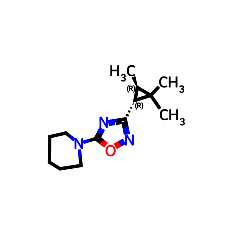 C[C@@H]1[C@@H](c2noc(N3CCCCC3)n2)C1(C)C